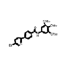 CCc1ccc(-c2ccc(C(=O)Nc3cc(OC)c(OC)c(OC)c3)cc2)nc1